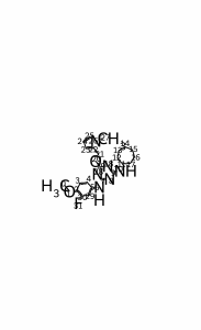 COc1ccc(Nc2nc(NC3CCCCCC3)nc(OCc3cccn3C)n2)cc1F